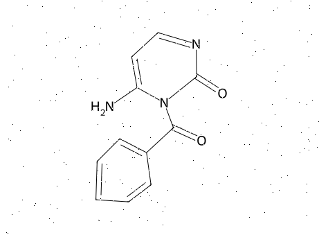 Nc1ccnc(=O)n1C(=O)c1ccccc1